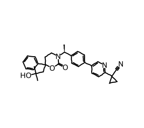 C[C@@H](c1ccc(-c2ccc(C3(C#N)CC3)nc2)cc1)N1CCC(CC(C)(C)O)(c2ccccc2)OC1=O